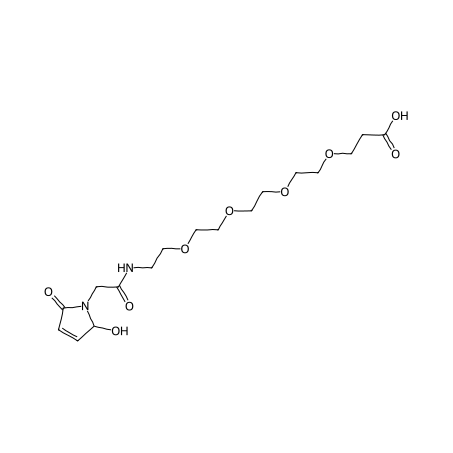 O=C(O)CCOCCOCCOCCOCCNC(=O)CN1C(=O)C=CC1O